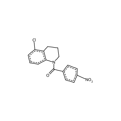 O=C(c1ccc([N+](=O)[O-])cc1)N1CCCc2c(Cl)cccc21